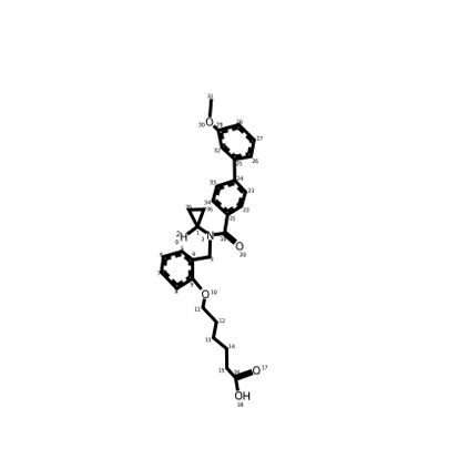 [2H]C1(N(Cc2ccccc2OCCCCCC(=O)O)C(=O)c2ccc(-c3cccc(OC)c3)cc2)CC1